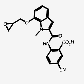 Cn1c(C(=O)Nc2ccc(C#N)cc2C(=O)O)cc2cccc(OCC3CO3)c21